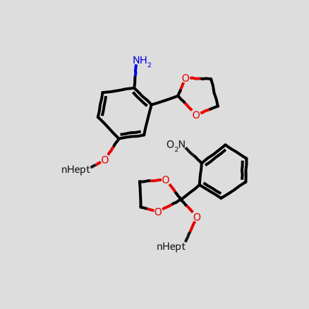 CCCCCCCOC1(c2ccccc2[N+](=O)[O-])OCCO1.CCCCCCCOc1ccc(N)c(C2OCCO2)c1